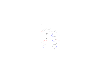 C[C@H]1C[C@@H](c2ccncc2NC(=O)c2ccc(F)c(-c3c(F)cc(C4(O)CCCC4)cc3F)n2)C[C@@H](N)[C@]1(C)O